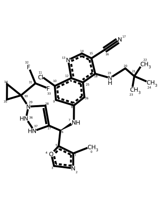 Cc1ncoc1[C@H](Nc1cc(Cl)c2ncc(C#N)c(NCC(C)(C)C)c2c1)C1=CN(C2(C(F)F)CC2)NN1